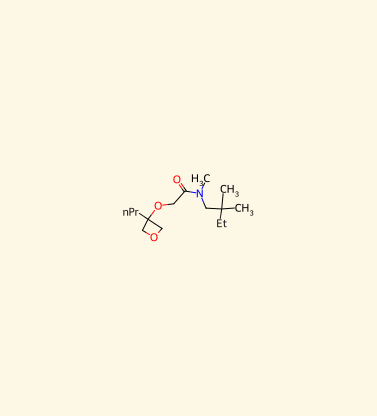 CCCC1(OCC(=O)N(C)CC(C)(C)CC)COC1